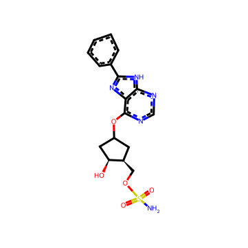 NS(=O)(=O)OC[C@@H]1CC(Oc2ncnc3[nH]c(-c4ccccc4)nc23)C[C@@H]1O